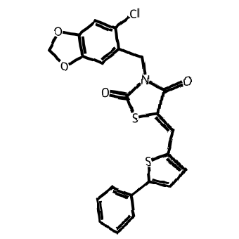 O=C1S/C(=C\c2ccc(-c3ccccc3)s2)C(=O)N1Cc1cc2c(cc1Cl)OCO2